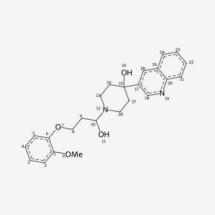 COc1ccccc1OCCC(O)N1CCC(O)(c2cnc3ccccc3c2)CC1